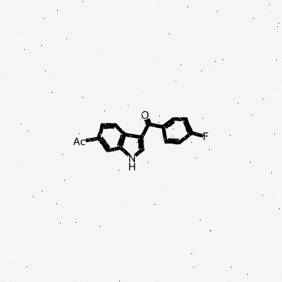 CC(=O)c1ccc2c(C(=O)c3ccc(F)cc3)c[nH]c2c1